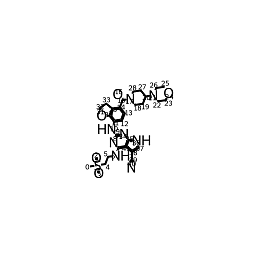 CS(=O)(=O)CCNc1nc(Nc2ccc(C(=O)N3CCC(N4CCOCC4)CC3)c3c2OCC3)nc2[nH]cc(C#N)c12